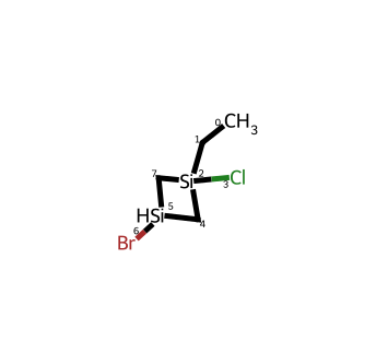 CC[Si]1(Cl)C[SiH](Br)C1